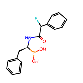 O=C(N[C@H](Cc1ccccc1)P(O)O)C(F)c1ccccc1